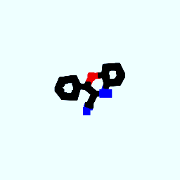 N#CC1Nc2ccccc2OC1c1ccccc1